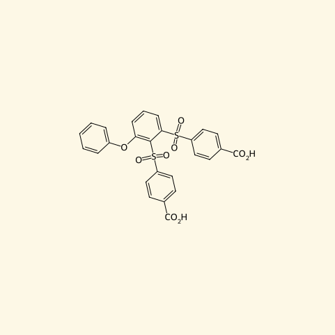 O=C(O)c1ccc(S(=O)(=O)c2cccc(Oc3ccccc3)c2S(=O)(=O)c2ccc(C(=O)O)cc2)cc1